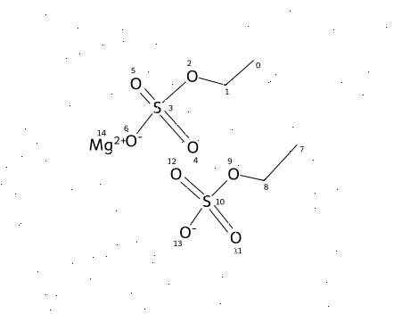 CCOS(=O)(=O)[O-].CCOS(=O)(=O)[O-].[Mg+2]